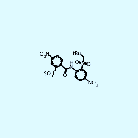 CC(C)(C)CS(=O)(=O)c1cc([N+](=O)[O-])ccc1NC(=O)c1ccc([N+](=O)[O-])cc1S(=O)(=O)O